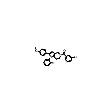 COc1ccc(-c2cc3c(n2-c2ccccc2Cl)CCN(C(=O)c2cccc(Cl)c2)C3)cc1